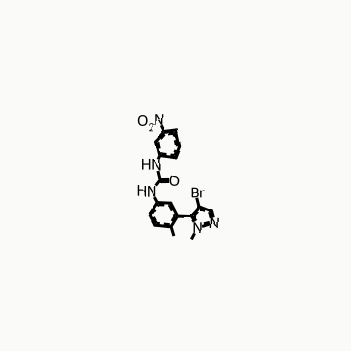 Cc1ccc(NC(=O)Nc2cccc([N+](=O)[O-])c2)cc1-c1c(Br)cnn1C